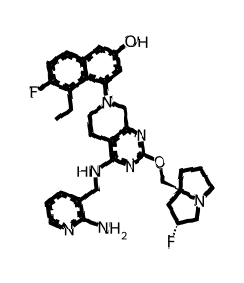 CCc1c(F)ccc2cc(O)cc(N3CCc4c(nc(OC[C@@]56CCCN5C[C@H](F)C6)nc4NCc4cccnc4N)C3)c12